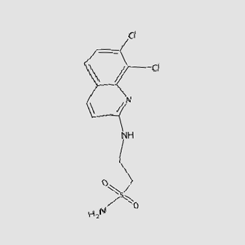 NS(=O)(=O)CCNc1ccc2ccc(Cl)c(Cl)c2n1